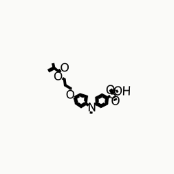 C=C(C)C(=O)OCCCOc1ccc(N(C)c2ccc(S(=O)(=O)O)cc2)cc1